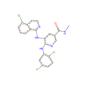 CNC(=O)c1cnc(Nc2cc(F)ccc2Cl)c(Nc2nccc3c(Cl)cccc23)c1